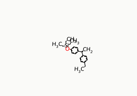 C=C(c1ccc(CC)cc1)c1ccc(O[Si](CC)(CC)CC)cc1